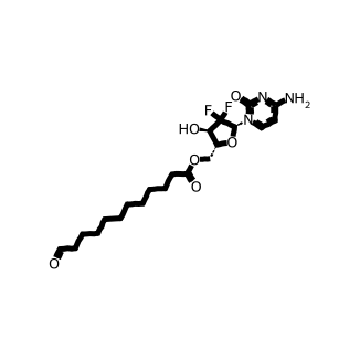 Nc1ccn([C@@H]2O[C@H](COC(=O)CCCCCCCCCCC=O)[C@@H](O)C2(F)F)c(=O)n1